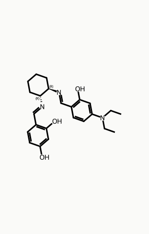 CCN(CC)c1ccc(C=N[C@@H]2CCCC[C@H]2N=Cc2ccc(O)cc2O)c(O)c1